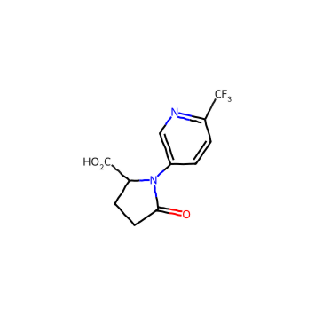 O=C(O)C1CCC(=O)N1c1ccc(C(F)(F)F)nc1